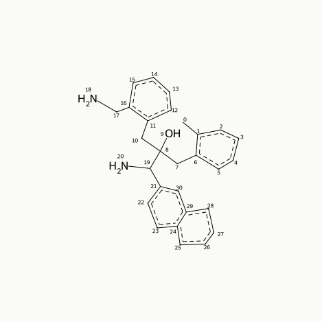 Cc1ccccc1CC(O)(Cc1ccccc1CN)C(N)c1ccc2ccccc2c1